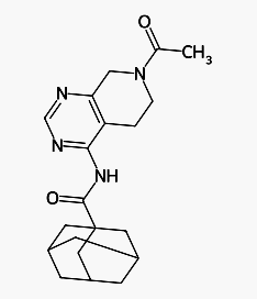 CC(=O)N1CCc2c(ncnc2NC(=O)C23CC4CC(CC(C4)C2)C3)C1